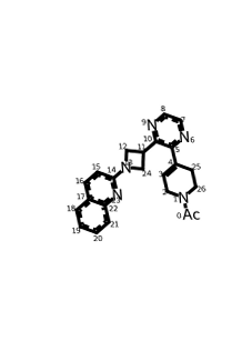 CC(=O)N1CC=C(c2nccnc2C2CN(c3ccc4ccccc4n3)C2)CC1